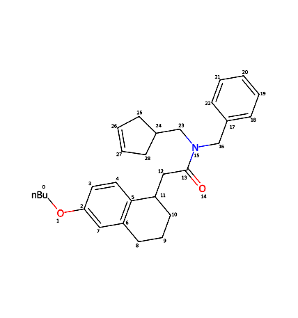 CCCCOc1ccc2c(c1)CCCC2CC(=O)N(Cc1ccccc1)CC1CC=CC1